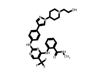 CNC(=O)c1ccccc1Nc1nc(Nc2ccc(-c3cnn(C4CCN(CCO)CC4)c3)cc2)ncc1C(F)(F)F